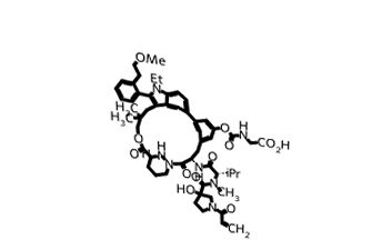 C=CC(=O)N1CCC(O)(C(=O)N(C)[C@H](C(=O)N[C@H]2Cc3cc(OC(=O)NCC(=O)O)cc(c3)-c3ccc4c(c3)c(c(-c3ccccc3CCOC)n4CC)CC(C)(C)COC(=O)[C@@H]3CCCN(N3)C2=O)C(C)C)C1